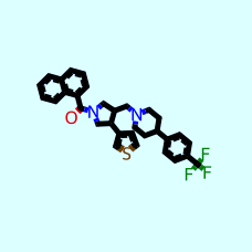 O=C(c1cccc2ccccc12)N1CC(CN2CCC(c3ccc(C(F)(F)F)cc3)CC2)C(c2ccsc2)C1